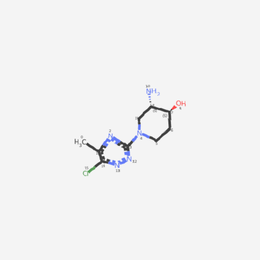 Cc1nc(N2CC[C@H](O)[C@@H](N)C2)nnc1Cl